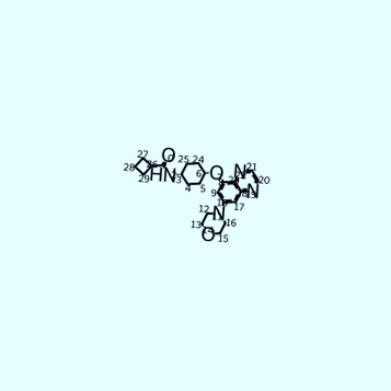 O=C(N[C@H]1CC[C@@H](Oc2cc(N3CCOCC3)cc3nccnc23)CC1)C1CCC1